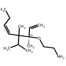 C=C[C@@](C)(OCCN)C(C)(/C=C\CC)C(C)C